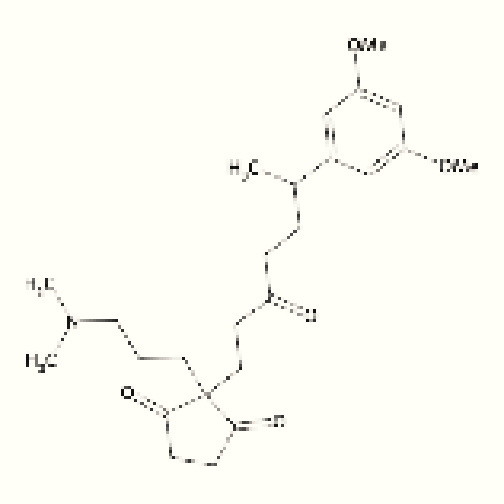 COc1cc(OC)cc(C(C)CCC(=O)CCC2(CCCN(C)C)C(=O)CCC2=O)c1